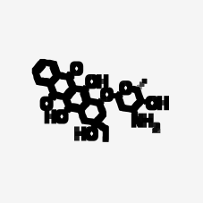 CCC1(O)Cc2c(O)c3c(c(O)c2[C@@H](O[C@H]2C[C@H](N)[C@@H](O)[C@@H](C)O2)C1)C(=O)c1ccccc1C3=O